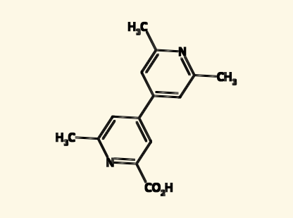 Cc1cc(-c2cc(C)nc(C(=O)O)c2)cc(C)n1